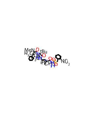 CN[C@H](C(=O)NC(C(=O)N(C)[C@H](/C=C(\C)C(=O)NS(=O)(=O)Cc1ccccc1[N+](=O)[O-])C(C)C)C(C)(C)C)C(C)(C)c1ccccc1